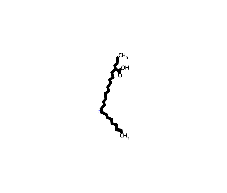 CCCCCCCC/C=C\CCCCCCCCCCC(CCCC)C(=O)O